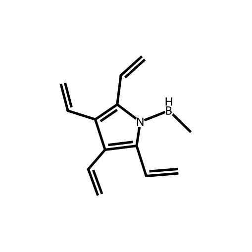 C=Cc1c(C=C)c(C=C)n(BC)c1C=C